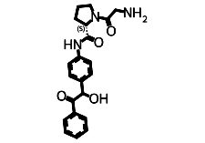 NCC(=O)N1CCC[C@H]1C(=O)Nc1ccc(C(O)C(=O)c2ccccc2)cc1